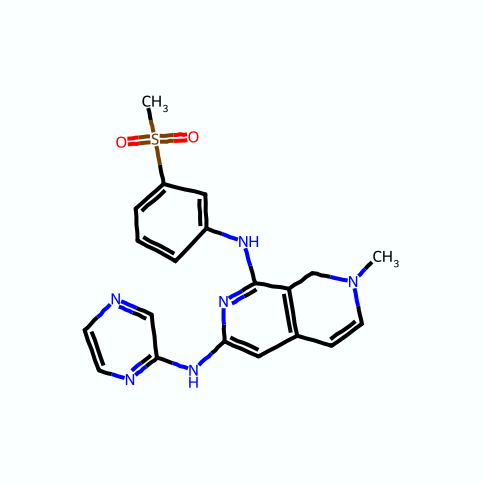 CN1C=Cc2cc(Nc3cnccn3)nc(Nc3cccc(S(C)(=O)=O)c3)c2C1